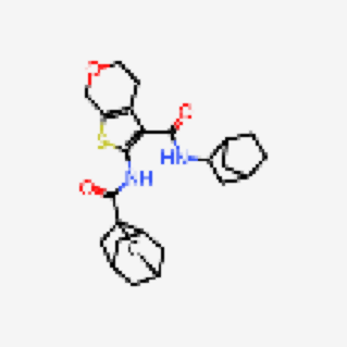 O=C(NC1CC2CCC1C2)c1c(NC(=O)C23CC4CC(CC2C4)C3)sc2c1CCOC2